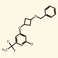 CC(F)(F)c1cc(OC2CC(OCc3ccccc3)C2)cc(Cl)n1